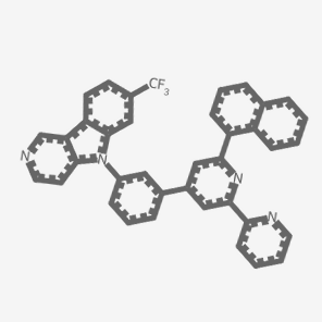 FC(F)(F)c1ccc2c3cnccc3n(-c3cccc(-c4cc(-c5ccccn5)nc(-c5cccc6ccccc56)c4)c3)c2c1